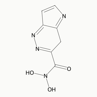 O=C(C1=NN=C2C=CN=C2C1)N(O)O